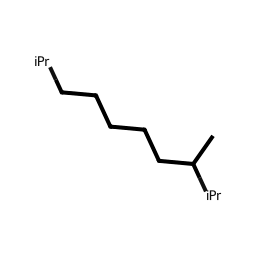 [CH2]C(C)C(C)CCCCCC(C)C